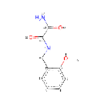 COc1ccccc1CNC(=O)C(N)=O